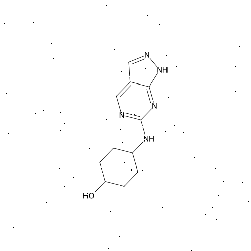 OC1CCC(Nc2ncc3cn[nH]c3n2)CC1